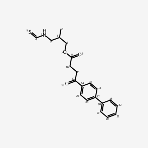 CC(CNC=S)COC(=O)CCC(=O)c1ccc(-c2ccccc2)cc1